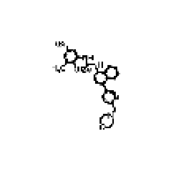 COc1c(C)cc(C(C)(C)C)cc1NC(=O)Nc1ccc(-c2ccc(CN3CCOCC3)nc2)c2ccccc12